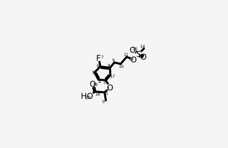 CC(Oc1ccc(F)c(CCCOS(C)(=O)=O)c1)C(=O)O